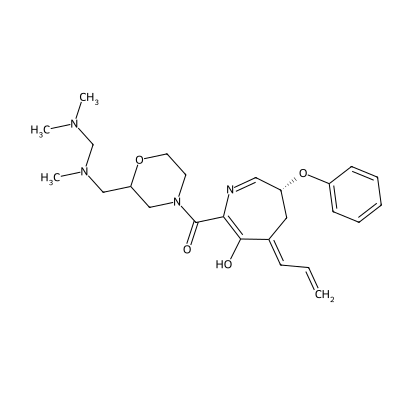 C=C/C=C1\C[C@@H](Oc2ccccc2)C=NC(C(=O)N2CCOC(CN(C)CN(C)C)C2)=C1O